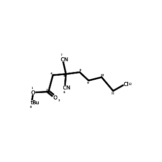 CC(C)(C)OC(=O)CC(C#N)(C#N)CCCCCl